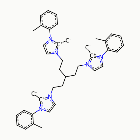 [CH2-][c+]1n(CCC(CCn2ccn(-c3ccccc3C)[c+]2[CH2-])CCn2ccn(-c3ccccc3C)[c+]2[CH2-])ccn1-c1ccccc1C